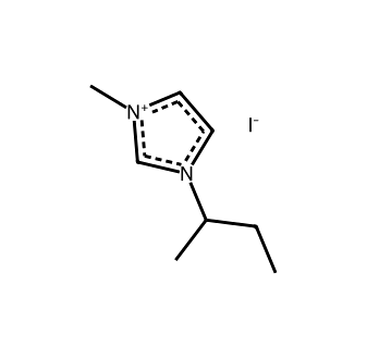 CCC(C)n1cc[n+](C)c1.[I-]